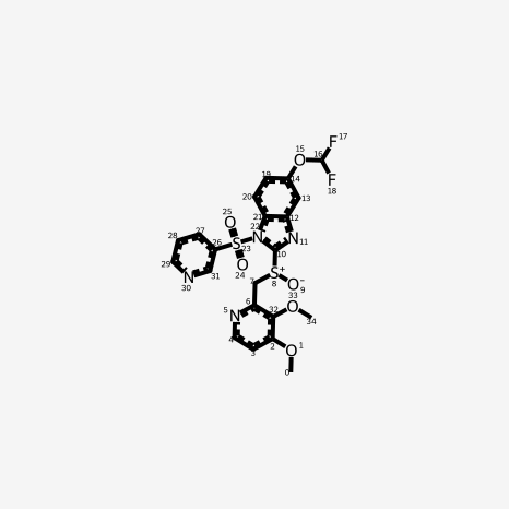 COc1ccnc(C[S+]([O-])c2nc3cc(OC(F)F)ccc3n2S(=O)(=O)c2cccnc2)c1OC